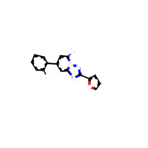 Cc1ccccc1-c1cc(N)n2nc(-c3ccco3)nc2c1